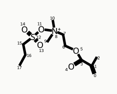 C=C(C)C(=O)OCC[N+](C)(C)OS(=O)(=O)CCC